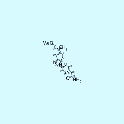 COCCN(C)c1ccc2c(c1)ncn2-c1ccc(CC(N)=O)cc1